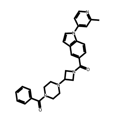 Cc1cc(-n2ccc3cc(C(=O)N4CC(N5CCN(C(=O)c6ccccc6)CC5)C4)ccc32)ccn1